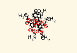 C=CCOC(=O)c1cc(C(=O)OCC=C)cc(C(=O)OC(=O)c2cccc3c(C(=O)O)ccc(C(=O)OC(=O)c4cc(C(=O)OCC=C)cc(C(=O)OCC=C)c4)c23)c1